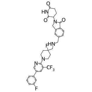 O=C1CCC(N2Cc3cc(CNCC4(F)CCN(c5ncc(-c6cccc(F)c6)cc5C(F)(F)F)CC4)ccc3C2=O)C(=O)N1